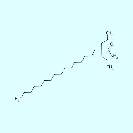 CCCCCCCCCCCCCCCCC(CCC)(CCC)C(N)=O